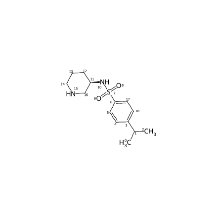 CC(C)c1ccc(S(=O)(=O)N[C@@H]2CCCNC2)cc1